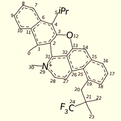 Cc1c2c(c(C(C)C)c3ccccc13)Oc1cc3cccc(CC(C)(C)C(F)(F)F)c3c3cc[n+](C)c-2c13